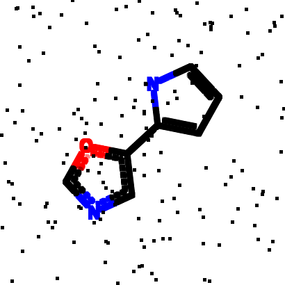 C1=C[N]C(c2cnco2)=C1